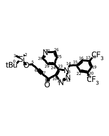 CC(C)(C)[Si](C)(C)OCC#CC(=O)c1nnn(Cc2cc(C(F)(F)F)cc(C(F)(F)F)c2)c1-c1ccncc1